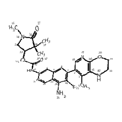 Cc1c(-c2cc3cc(NC(=O)OC4CN(C)C(=O)C4(C)C)ncc3c(N)c2F)cnc2c1NCCO2